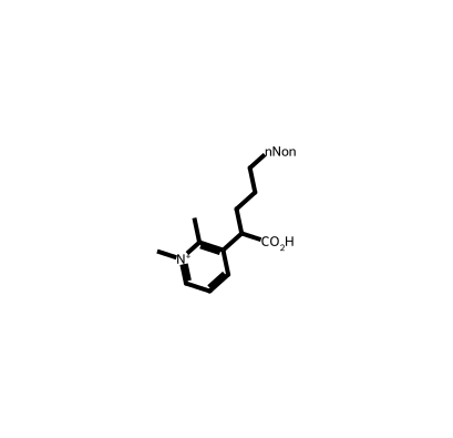 CCCCCCCCCCCCC(C(=O)O)c1ccc[n+](C)c1C